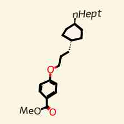 CCCCCCC[C@H]1CC[C@H](CCCOc2ccc(C(=O)OC)cc2)CC1